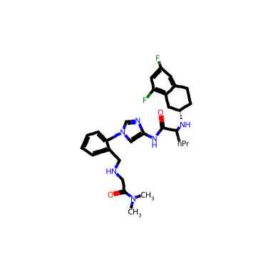 CCCC(N[C@H]1CCc2cc(F)cc(F)c2C1)C(=O)Nc1cn(-c2ccccc2CNCC(=O)N(C)C)cn1